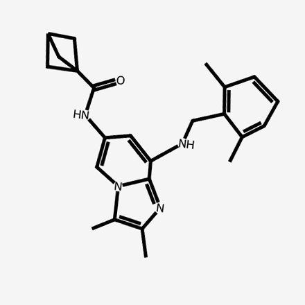 Cc1cccc(C)c1CNc1cc(NC(=O)C23CC(C2)C3)cn2c(C)c(C)nc12